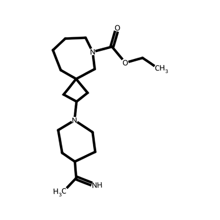 CCOC(=O)N1CCCCC2(CC(N3CCC(C(C)=N)CC3)C2)C1